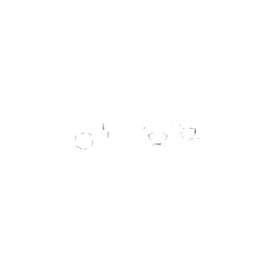 Cc1ncn(C)c1-c1nnc([C@@H]2CCC[C@H](NC(=O)c3cccc(Cl)c3)C2)o1